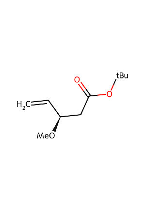 C=C[C@@H](CC(=O)OC(C)(C)C)OC